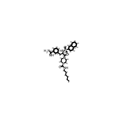 CCCCCCNC(=O)N1CCN(C(=O)C(Cc2cccc(C(=N)N)c2)NS(=O)(=O)c2ccc3ccccc3c2)CC1